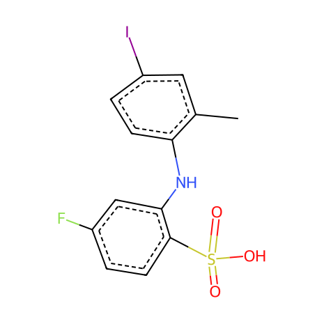 Cc1cc(I)ccc1Nc1cc(F)ccc1S(=O)(=O)O